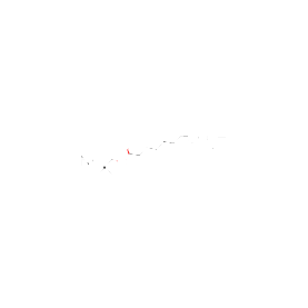 CC(C)(C#N)COC(=O)CCCCCCC(=O)O